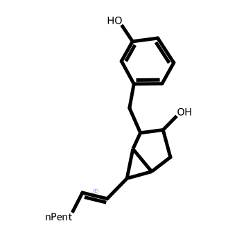 CCCCC/C=C/C1C2CC(O)C(Cc3cccc(O)c3)C12